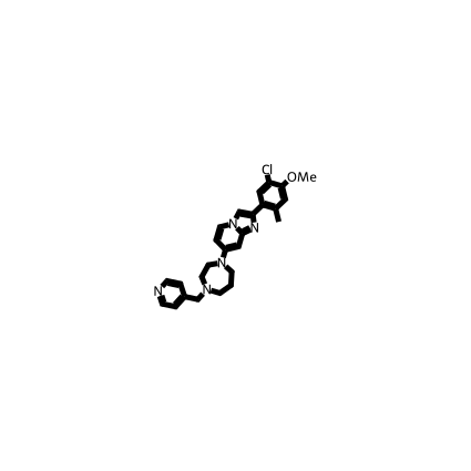 COc1cc(C)c(-c2cn3ccc(N4CCCN(Cc5ccncc5)CC4)cc3n2)cc1Cl